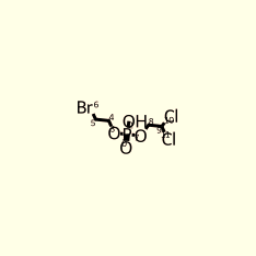 O=P(O)(OCCBr)OCC(Cl)Cl